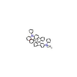 CN(c1ccccc1)c1ccc2c(c1)C(C)(c1ccccc1-c1ccc(N(C3=CC=CCC3)c3ccccc3)c(-c3ccccc3)c1)c1ccccc1-2